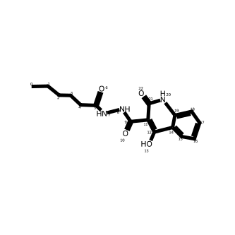 CCCCCC(=O)NNC(=O)c1c(O)c2ccccc2[nH]c1=O